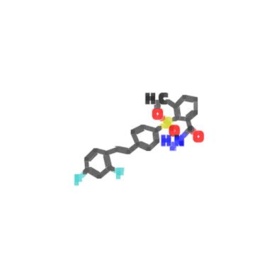 Cc1cccc(C(N)=O)c1S(=O)(=O)c1ccc(C=Cc2ccc(F)cc2F)cc1